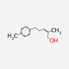 CC(=CCCc1ccc(C)cc1)CO